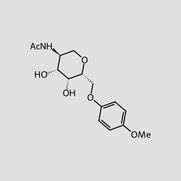 COc1ccc(OC[C@H]2OC[C@H](NC(C)=O)[C@@H](O)[C@H]2O)cc1